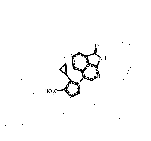 O=C(O)c1ccn(-c2cnc3c4c(cccc24)C(=O)N3)c1C1CC1